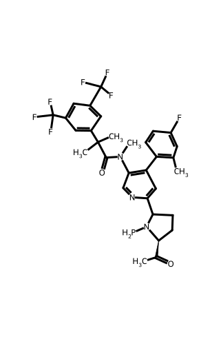 CC(=O)[C@@H]1CCC(c2cc(-c3ccc(F)cc3C)c(N(C)C(=O)C(C)(C)c3cc(C(F)(F)F)cc(C(F)(F)F)c3)cn2)N1P